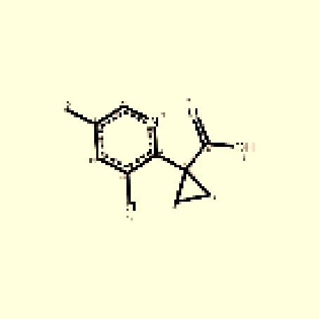 Cc1cnc(C2(C(=O)O)CC2)c(Cl)c1